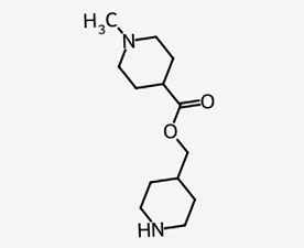 CN1CCC(C(=O)OCC2CCNCC2)CC1